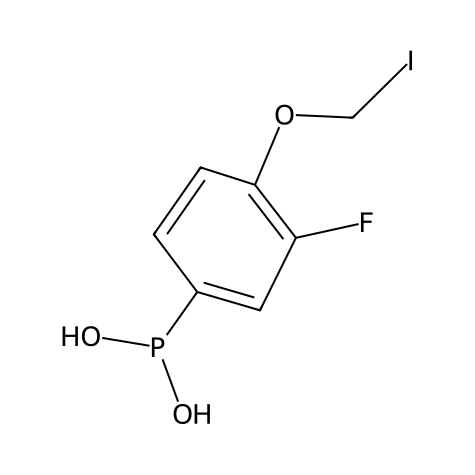 OP(O)c1ccc(OCI)c(F)c1